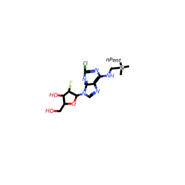 CCCCC[Si](C)(C)CNc1nc(Cl)nc2c1ncn2C1OC(CO)C(O)C1F